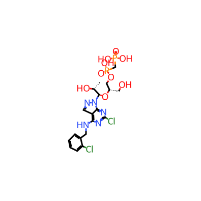 C[C@@H](O)[C@@H](O[C@@H](CO)COP(=O)(O)CP(=O)(O)O)n1ncc2c(NCc3ccccc3Cl)nc(Cl)nc21